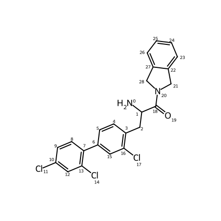 NC(Cc1ccc(-c2ccc(Cl)cc2Cl)cc1Cl)C(=O)N1Cc2ccccc2C1